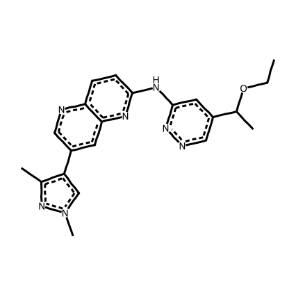 CCOC(C)c1cnnc(Nc2ccc3ncc(-c4cn(C)nc4C)cc3n2)c1